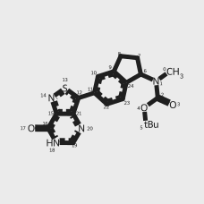 CN(C(=O)OC(C)(C)C)C1CCc2cc(-c3snc4c(=O)[nH]cnc34)ccc21